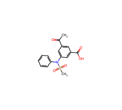 CC(=O)c1cc(C(=O)O)cc(N(c2ccccc2)S(C)(=O)=O)c1